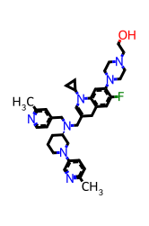 Cc1ccc(N2CCC[C@H](N(CC3=CN(C4CC4)c4cc(N5CCN(CCO)CC5)c(F)cc4C3)Cc3ccnc(C)c3)C2)cn1